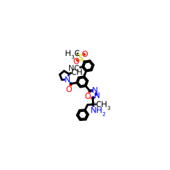 CC1CCCN1C(=O)c1cc(-c2nnc([C@](C)(N)Cc3ccccc3)o2)cc(-c2cccc(S(C)(=O)=O)c2C#N)c1